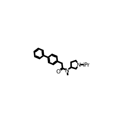 CC(C)N1CCC(N(C)C(=O)Cc2ccc(-c3ccccc3)cc2)C1